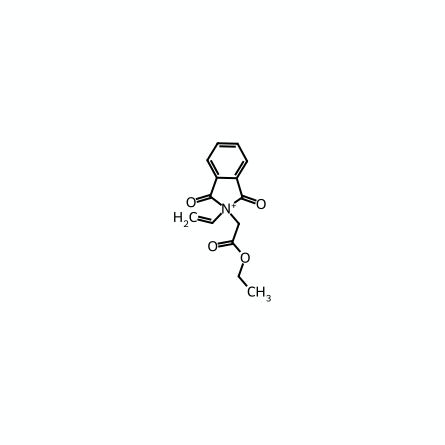 C=C[N+]1(CC(=O)OCC)C(=O)c2ccccc2C1=O